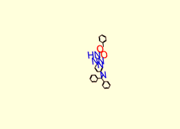 O=C(Nc1nc2ccc(N=C(c3ccccc3)c3ccccc3)cn2n1)OCc1ccccc1